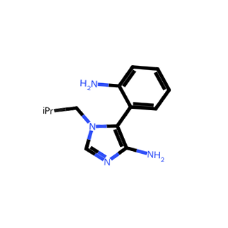 CC(C)Cn1cnc(N)c1-c1ccccc1N